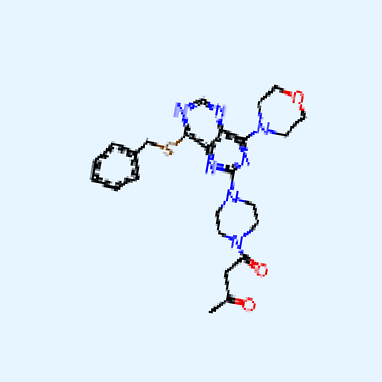 CC(=O)CC(=O)N1CCN(c2nc(N3CCOCC3)c3ncnc(SCc4ccccc4)c3n2)CC1